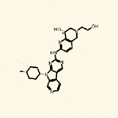 C[C@H]1CC[C@H](n2c3cnccc3c3cnc(Nc4ccc5c(n4)[C@H](O)CN(CCO)C5)nc32)CC1